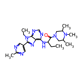 CCC(Nc1ncnc2c1nc(-c1cnc(C)nc1)n2CC)C(=O)N1CC(C)N(C)C(C)C1